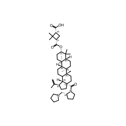 C=C(C)[C@@H]1CC[C@]2(C(=O)N3CCC[C@@H]3CN3CCCC3)CC[C@]3(C)C(CC[C@@H]4[C@@]5(C)CC[C@H](OC(=O)[C@H]6C[C@@H](C(=O)O)C6(C)C)C(C)(C)[C@@H]5CC[C@]43C)[C@@H]12